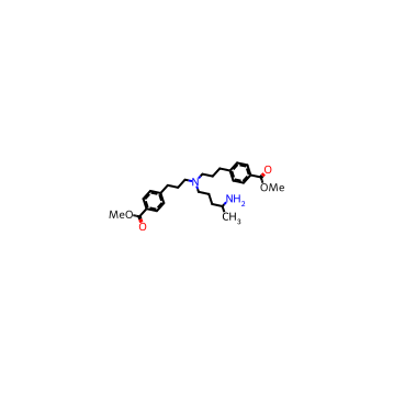 COC(=O)c1ccc(CCCN(CCCc2ccc(C(=O)OC)cc2)CCCC(C)N)cc1